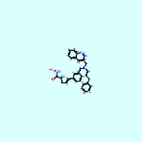 O=C(NO)C1CC=C(c2cccc(CN(CCCc3ccccc3)Cc3cnc4ccccc4c3)c2)S1